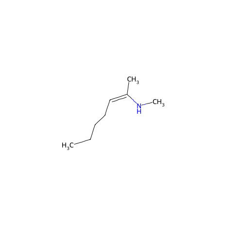 CCCC/C=C(/C)NC